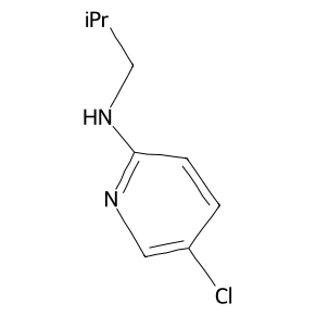 CC(C)CNc1ccc(Cl)cn1